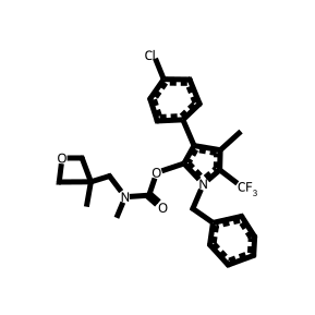 Cc1c(-c2ccc(Cl)cc2)c(OC(=O)N(C)CC2(C)COC2)n(Cc2ccccc2)c1C(F)(F)F